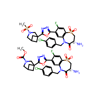 COC(=O)N1CC2CC(c3nnc(-c4cc5c(cc4F)S(=O)(=O)C[C@H](N)C(=O)N5Cc4ccc(Cl)cc4)o3)(C2)C1.CS(=O)(=O)N1CC2CC(c3nnc(-c4cc5c(cc4F)S(=O)(=O)C[C@H](N)C(=O)N5Cc4ccc(Cl)cc4)o3)(C2)C1